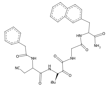 CC[C@H](C)C(NC(=O)C(CC#N)NC(=O)Cc1ccccc1)C(=O)C(=O)NCC(=O)NC(Cc1ccc2ccccc2c1)C(N)=O